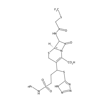 CCCNS(=O)(=O)CCC(Sc1nnn[nH]1)C1=C(C(=O)O)N2C(=O)C(NC(=O)CSC(F)(F)F)[C@@H]2SC1